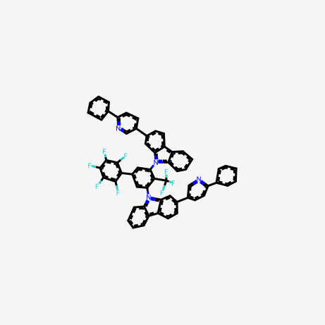 Fc1c(F)c(F)c(-c2cc(-n3c4ccccc4c4ccc(-c5ccc(-c6ccccc6)nc5)cc43)c(C(F)(F)F)c(-n3c4ccccc4c4ccc(-c5ccc(-c6ccccc6)nc5)cc43)c2)c(F)c1F